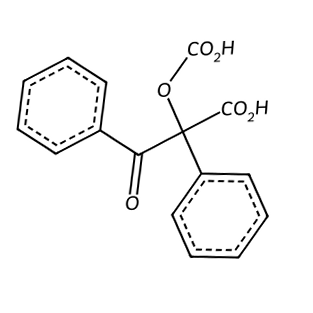 O=C(O)OC(C(=O)O)(C(=O)c1ccccc1)c1ccccc1